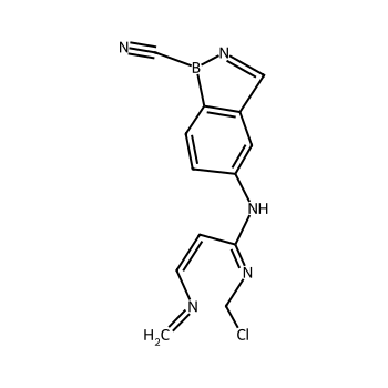 C=N/C=C\C(=N/CCl)Nc1ccc2c(c1)C=NB2C#N